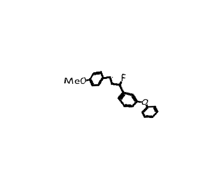 COc1ccc([CH]CC(F)c2cccc(Oc3ccccc3)c2)cc1